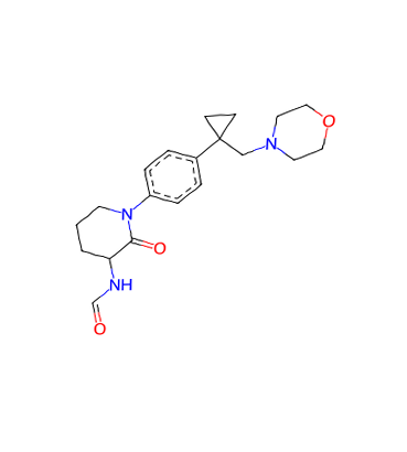 O=CNC1CCCN(c2ccc(C3(CN4CCOCC4)CC3)cc2)C1=O